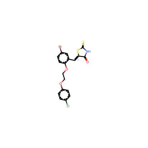 O=C1NC(=S)S/C1=C\c1cc(Br)ccc1OCCOc1ccc(Cl)cc1